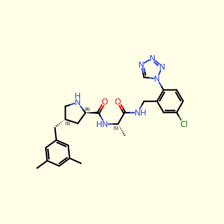 Cc1cc(C)cc(C[C@@H]2CN[C@@H](C(=O)N[C@@H](C)C(=O)NCc3cc(Cl)ccc3-n3cnnn3)C2)c1